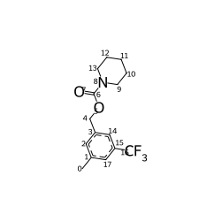 Cc1cc(COC(=O)N2CCCCC2)cc(C(F)(F)F)c1